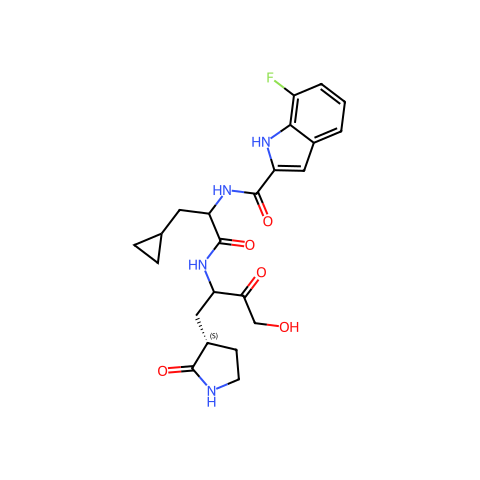 O=C(NC(CC1CC1)C(=O)NC(C[C@@H]1CCNC1=O)C(=O)CO)c1cc2cccc(F)c2[nH]1